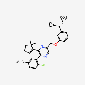 COc1ccc(F)c(-c2ncc(COc3cccc([C@@H](CC(=O)O)C4CC4)c3)nc2C2=CCCC2(C)C)c1